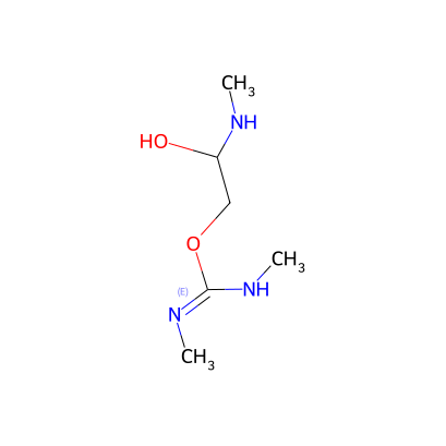 C/N=C(\NC)OCC(O)NC